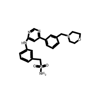 NS(=O)(=O)Cc1cccc(Nc2cc(-c3cccc(CN4CCOCC4)c3)ncn2)c1